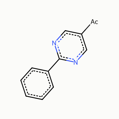 CC(=O)c1cnc(-c2ccccc2)nc1